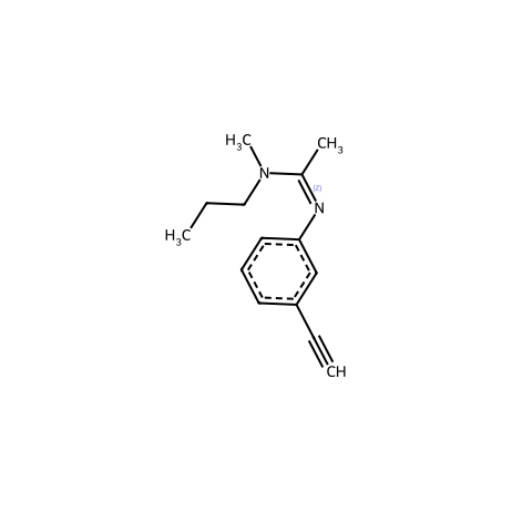 C#Cc1cccc(/N=C(/C)N(C)CCC)c1